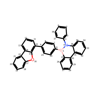 c1ccc(N2B(c3ccc(-c4cccc5c4oc4ccccc45)cc3)c3ccccc3-c3ccccc32)cc1